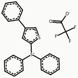 O=C([O-])C(F)(F)F.c1ccc(-c2csc([S+](c3ccccc3)c3ccccc3)c2)cc1